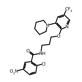 O=C(NCCCOc1ncc(C(F)(F)F)cc1N1CCCCC1)c1cc([N+](=O)[O-])ccc1Cl